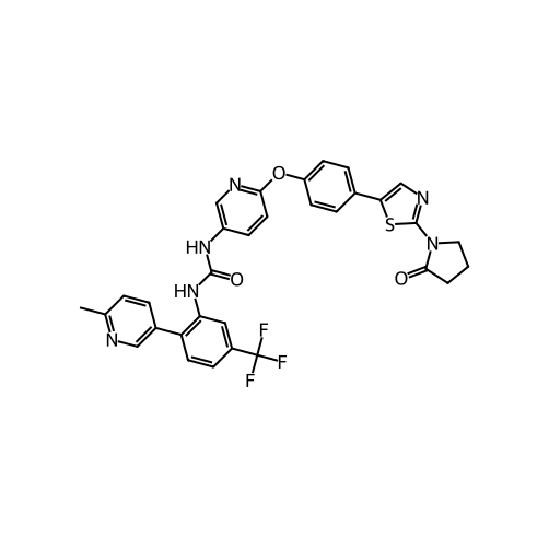 Cc1ccc(-c2ccc(C(F)(F)F)cc2NC(=O)Nc2ccc(Oc3ccc(-c4cnc(N5CCCC5=O)s4)cc3)nc2)cn1